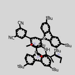 C/C=C(\C=C/C(Nc1c(-n2c3ccc(C(C)(C)C)cc3c3cc(C(C)(C)C)ccc32)cc(-c2cc(C#N)cc(C#N)c2)cc1-n1c2ccc(C(C)(C)C)cc2c2cc(C(C)(C)C)ccc21)C(C)/C(=C\C)C(C)(C)C)C(C)(C)C